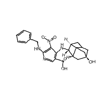 O=C(O)c1cnc(NCc2ccccc2)c([N+](=O)[O-])c1N[C@H]1[C@@H]2CC3C[C@H]1C[C@](O)(C3)C2